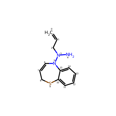 C=CCN(N)N1C=CCSc2ccccc21